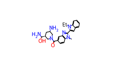 CCn1c(-c2nc3cc(C(=O)N4C[C@H](N)C[C@H](C(N)O)C4)ccc3n2C)cc2ccccc21